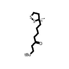 CC(C)(C)CCC(=O)CCCC[C@]1(C)CCSS1